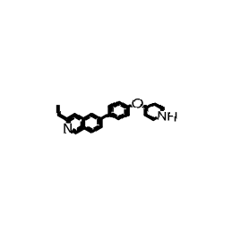 CCc1cc2cc(-c3ccc(OC4CCNCC4)cc3)ccc2cn1